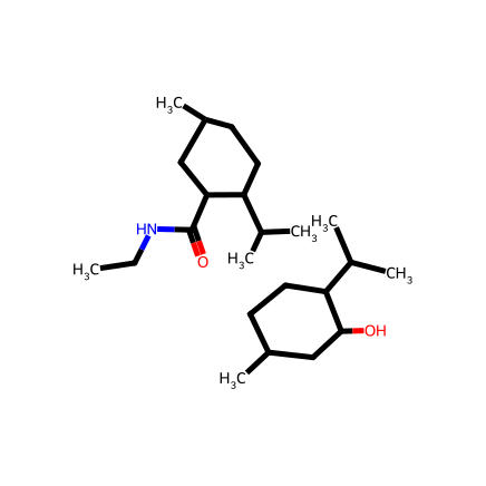 CC1CCC(C(C)C)C(O)C1.CCNC(=O)C1CC(C)CCC1C(C)C